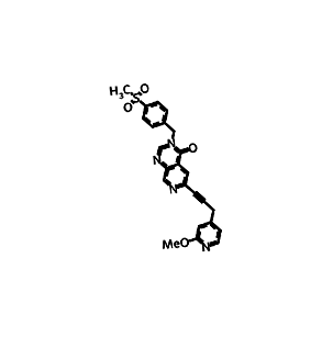 COc1cc(CC#Cc2cc3c(=O)n(Cc4ccc(S(C)(=O)=O)cc4)cnc3cn2)ccn1